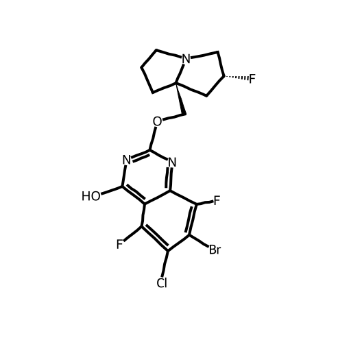 Oc1nc(OC[C@@]23CCCN2C[C@H](F)C3)nc2c(F)c(Br)c(Cl)c(F)c12